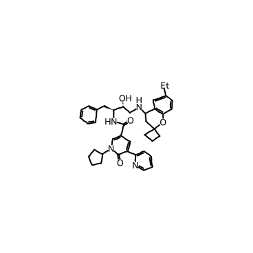 CCc1ccc2c(c1)C(NC[C@@H](O)[C@H](Cc1ccccc1)NC(=O)c1cc(-c3ccccn3)c(=O)n(C3CCCC3)c1)CC1(CCC1)O2